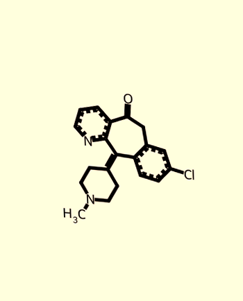 CN1CCC(=C2c3ccc(Cl)cc3CC(=O)c3cccnc32)CC1